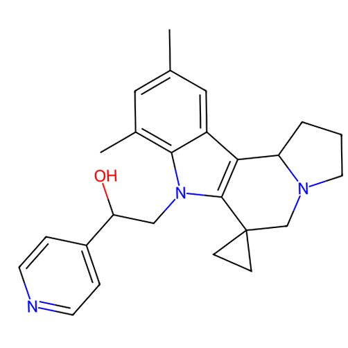 Cc1cc(C)c2c(c1)c1c(n2CC(O)c2ccncc2)C2(CC2)CN2CCCC12